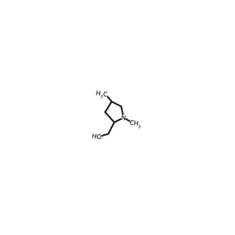 CC1CC(CO)N(C)C1